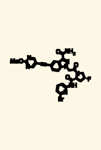 COc1ncc(C#Cc2ccc3c(c2)c(C(N)=O)nn3CC(=O)N2C[C@H](F)C[C@H]2C(=O)Nc2cccc(Br)n2)cn1